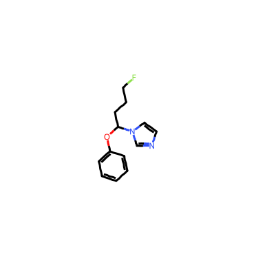 FCCCC(Oc1ccccc1)n1ccnc1